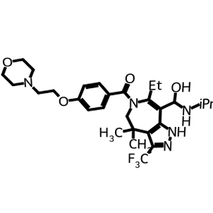 CCC1=C(C(O)NC(C)C)c2[nH]nc(C(F)(F)F)c2C(C)(C)CN1C(=O)c1ccc(OCCN2CCOCC2)cc1